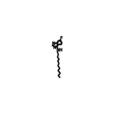 CCCCCCCCCCCCNc1ncnc2cc(F)ccc12